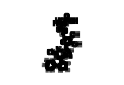 O=P(O)(O)CP(=O)(O)OC[C@H]1O[C@@H](c2cnc3c(C4CCC[C@H]4c4ccccc4)nc(Cl)nn23)[C@H](O)[C@@H]1O